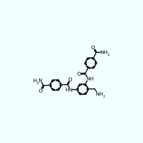 NCc1ccc(NC(=O)c2ccc(C(N)=O)cc2)cc1NC(=O)c1ccc(C(N)=O)cc1